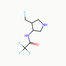 O=C(NC1CNCC1CF)C(F)(F)F